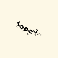 CC(=O)NCC1CN(c2ccc(C3=CCN(C(=O)C4CC4)CC3)c(F)c2)C(=O)O1